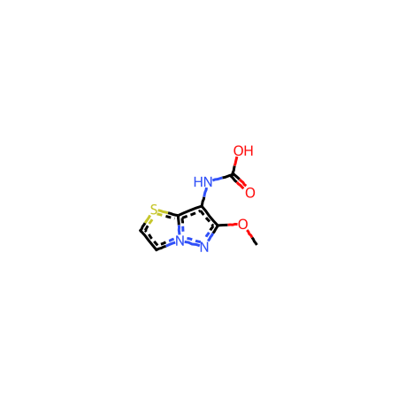 COc1nn2ccsc2c1NC(=O)O